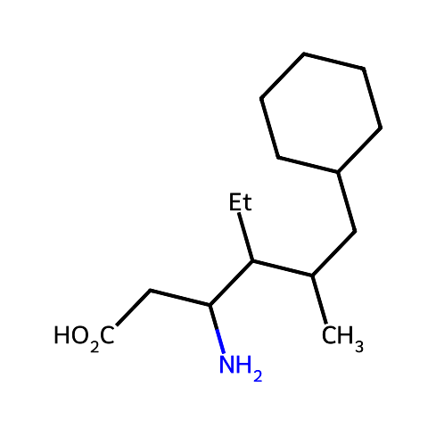 CCC(C(C)CC1CCCCC1)C(N)CC(=O)O